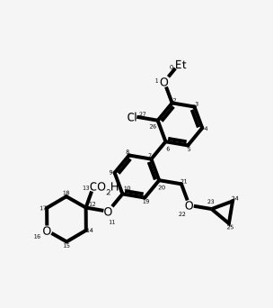 CCOc1cccc(-c2ccc(OC3(C(=O)O)CCOCC3)cc2COC2CC2)c1Cl